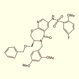 COc1ccc(CN2C(=O)c3cc(NS(=O)(=O)c4cc(F)ccc4OC)cnc3OC[C@@H]2COCc2ccccc2)c(OC)c1